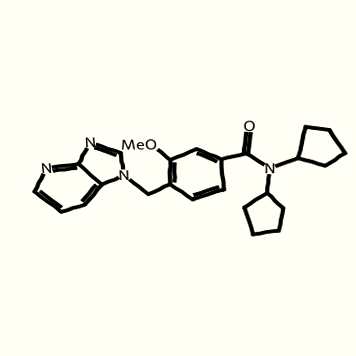 COc1cc(C(=O)N(C2CCCC2)C2CCCC2)ccc1Cn1cnc2ncccc21